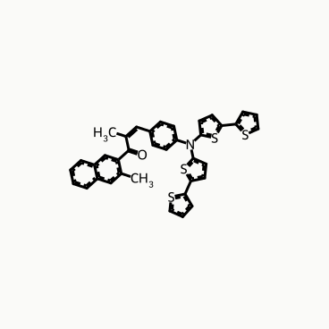 C/C(=C/c1ccc(N(c2ccc(-c3cccs3)s2)c2ccc(-c3cccs3)s2)cc1)C(=O)c1cc2ccccc2cc1C